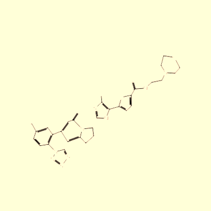 O=C(NCCN1CCOCC1)c1ccc(-c2[nH]c([C@@H]3CCc4cc(-c5cc(Cl)ccc5-n5cnnn5)cc(=O)n43)nc2Cl)s1